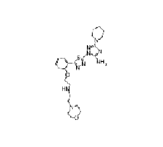 Nc1nc(N2CCCCC2)nn1-c1nnc(-c2ccccc2OCCNCCN2CCOCC2)s1